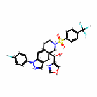 O=S(=O)(c1ccc(C(F)(F)F)cc1)N1CCC2=Cc3c(cnn3-c3ccc(F)cc3)CC2([C@@H](O)c2cocn2)C1